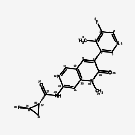 Cc1c(F)cncc1-c1cc2cnc(NC(=O)[C@@H]3C[C@H]3F)cc2n(C)c1=O